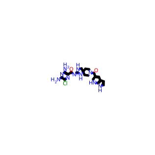 Nc1nc(N)c(C(=O)/N=C2\NCC3(CCN(C(=O)C4=Cc5cc[nH]c5NC4)CC3)N2)nc1Cl